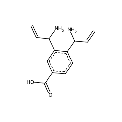 C=CC(N)c1ccc(C(=O)O)cc1C(N)C=C